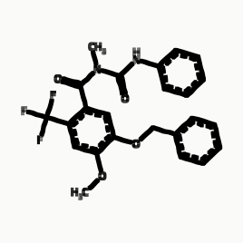 COc1cc(C(F)(F)F)c(C(=O)N(C)C(=O)Nc2ccccc2)cc1OCc1ccccc1